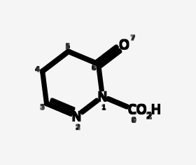 O=C(O)N1N=CCCC1=O